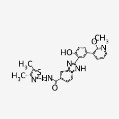 COc1ncccc1-c1ccc(O)c(-c2nc3cc(C(=O)NCc4nc(C)c(C)s4)ccc3[nH]2)c1